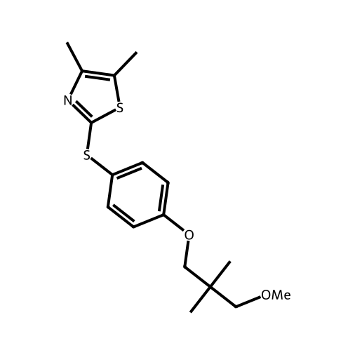 COCC(C)(C)COc1ccc(Sc2nc(C)c(C)s2)cc1